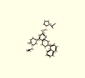 CC(C)N1CCC[C@H]1COc1nc2c(c(N3CCN[C@@H](CC#N)C3)n1)CCN(c1cccc3ccccc13)C2